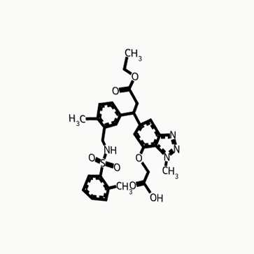 CCOC(=O)CC(c1ccc(C)c(CNS(=O)(=O)c2ccccc2C)c1)c1cc(OCC(=O)O)c2c(c1)nnn2C